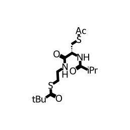 CC(=O)SC[C@H](NC(=O)C(C)C)C(=O)NCCSC(=O)C(C)(C)C